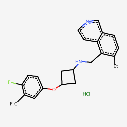 CCc1ccc2cnccc2c1CNC1CC(Oc2ccc(F)c(C(F)(F)F)c2)C1.Cl